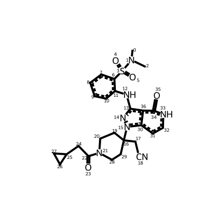 CN(C)S(=O)(=O)c1ccccc1Nc1nn(C2(CC#N)CCN(C(=O)CC3CC3)CC2)c2cc[nH]c(=O)c12